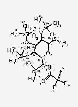 CSC1O[C@H]([C@H](NC(=O)C(F)(F)F)[C@@H](C)O)C(O[Si](C)(C)C)C(O[Si](C)(C)C)C1O[Si](C)(C)C